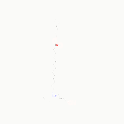 CCCCCCOC(=O)CCCCCCCCCCCCCN(C)CCCCO